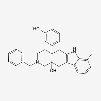 Cc1cccc2c3c([nH]c12)CC1(c2cccc(O)c2)CCN(Cc2ccccc2)CC1(O)C3